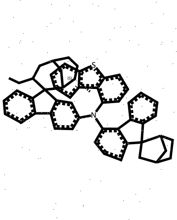 CCC1CC2CC[C@H](C)C(C2)C12c1ccccc1-c1ccc(N(c3cccc4c3-c3ccccc3C43CC4CCC3C4)c3cccc4sc5ccccc5c34)cc12